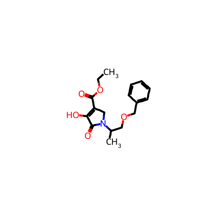 CCOC(=O)C1=C(O)C(=O)N(C(C)COCc2ccccc2)C1